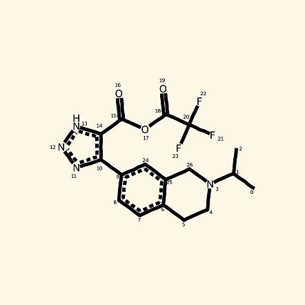 CC(C)N1CCc2ccc(-c3nn[nH]c3C(=O)OC(=O)C(F)(F)F)cc2C1